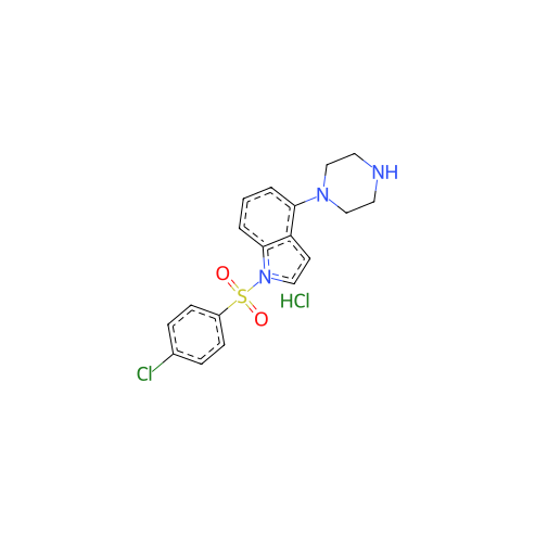 Cl.O=S(=O)(c1ccc(Cl)cc1)n1ccc2c(N3CCNCC3)cccc21